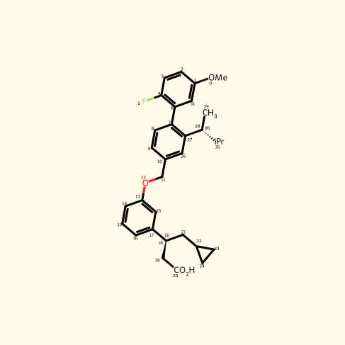 COc1ccc(F)c(-c2ccc(COc3cccc([C@H](CC(=O)O)CC4CC4)c3)cc2[C@H](C)C(C)C)c1